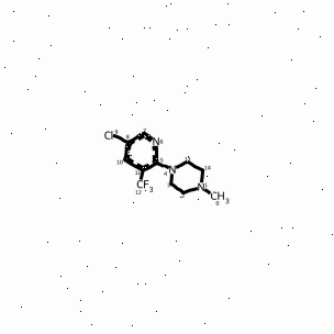 CN1CCN(c2ncc(Cl)cc2C(F)(F)F)CC1